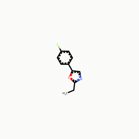 CCc1ncc(-c2ccc(F)cc2)o1